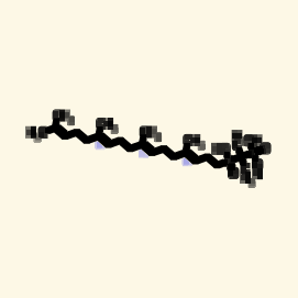 CC(C)=CCC/C(C)=C/CC/C(C)=C/CC/C(C)=C/CCP(=O)(O)C(C)(C)P(=O)(O)O